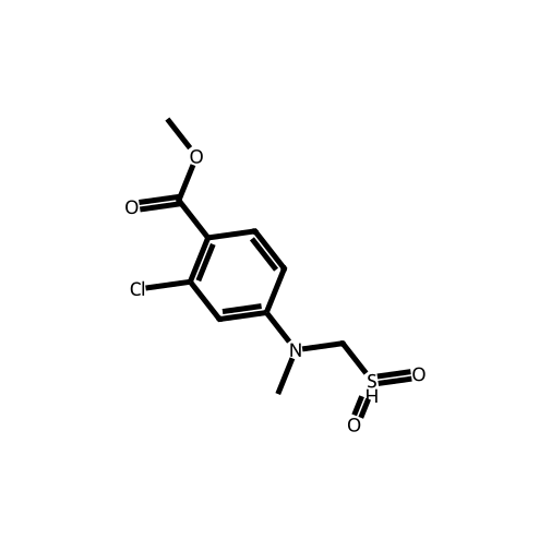 COC(=O)c1ccc(N(C)C[SH](=O)=O)cc1Cl